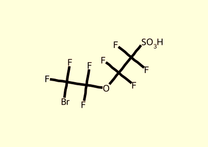 O=S(=O)(O)C(F)(F)C(F)(F)OC(F)(F)C(F)(F)Br